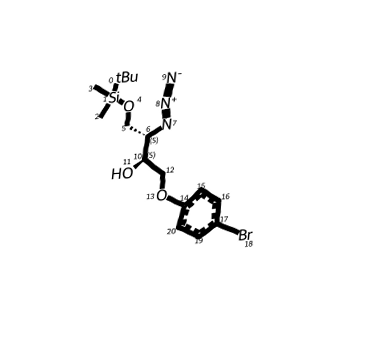 CC(C)(C)[Si](C)(C)OC[C@H](N=[N+]=[N-])[C@H](O)COc1ccc(Br)cc1